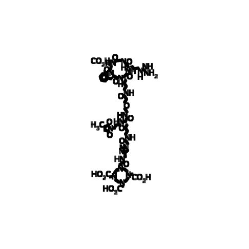 CC1CC(=O)N(CCC(=O)N[C@@H](CCCCNC(=O)Cn2cc(CNC(=O)CN3CCN(CC(=O)O)CCN(CC(=O)O)CCN(CC(=O)O)CC3)nn2)C(=O)NCCOCCC(=O)NCCCC[C@@H]2NC(=O)[C@@H](Cc3ccccc3)NC(=O)[C@H](CC(=O)O)NC(=O)CNC(=O)[C@H](CCCNC(=N)N)NC2=O)C1=O